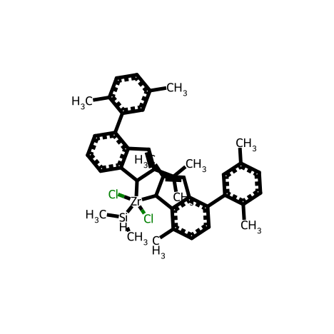 CC1=Cc2c(-c3cc(C)ccc3C)ccc(C)c2[CH]1[Zr]([Cl])([Cl])([CH]1C(C(C)C)=Cc2c(-c3cc(C)ccc3C)cccc21)[SiH](C)C